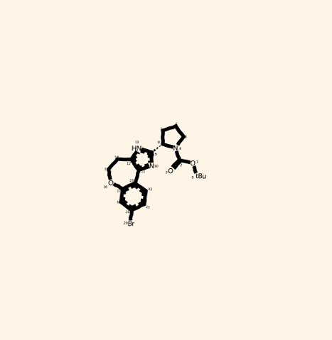 CC(C)(C)OC(=O)N1CCC[C@H]1c1nc2c([nH]1)CCOc1cc(Br)ccc1-2